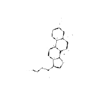 C[C@H](CCC(=O)O)C1CCC2[C@@H]3CC[C@@H]4C[C@H](O)CC[C@]4(C)C3CC[C@@]21C